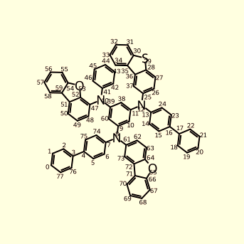 c1ccc(-c2ccc(N(c3cc(N(c4ccc(-c5ccccc5)cc4)c4ccc5sc6ccccc6c5c4)cc(N(c4ccccc4)c4cccc5c4oc4ccccc45)c3)c3ccc4oc5ccccc5c4c3)cc2)cc1